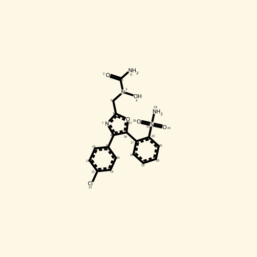 NC(=O)N(O)Cc1nc(-c2ccc(Cl)cc2)c(-c2ccccc2S(N)(=O)=O)o1